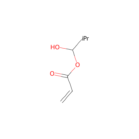 C=CC(=O)OC(O)C(C)C